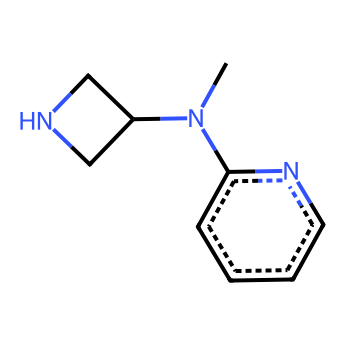 CN(c1ccccn1)C1CNC1